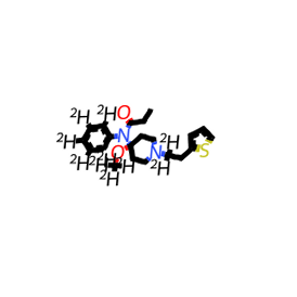 [2H]c1c([2H])c([2H])c(N(C(=O)CC)C2(OC([2H])([2H])[2H])CCN(C([2H])([2H])Cc3cccs3)CC2)c([2H])c1[2H]